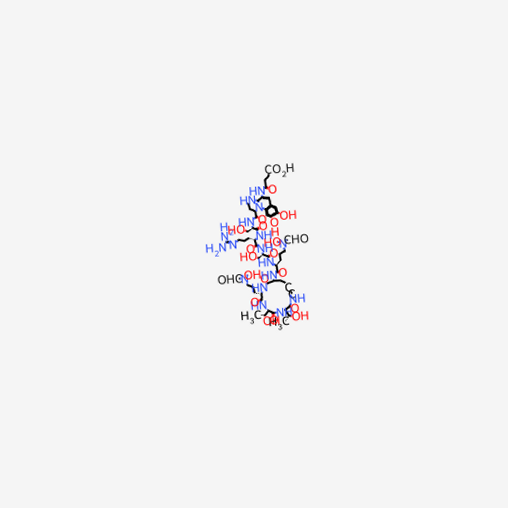 C[C@@H](O)[C@@H]1NC(=O)[C@H](CCCN(O)C=O)NC(=O)[C@@H](NC(=O)[C@H](CCCN(O)C=O)NC(=O)[C@@H](CO)NC(=O)[C@H](CCCN=C(N)N)NC(=O)[C@@H](CO)NC(=O)C2CCNC3C(NC(=O)CCC(=O)O)=Cc4cc(O)c(O)cc4N23)CCCCNC(=O)[C@H]([C@@H](C)O)NC1=O